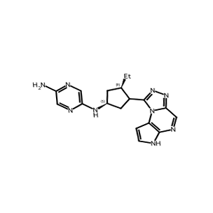 CC[C@@H]1C[C@H](Nc2cnc(N)cn2)CC1c1nnc2cnc3[nH]ccc3n12